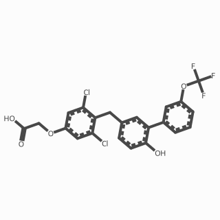 O=C(O)COc1cc(Cl)c(Cc2ccc(O)c(-c3cccc(OC(F)(F)F)c3)c2)c(Cl)c1